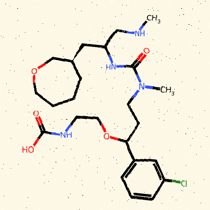 CNCC(C[C@H]1CCCCOC1)NC(=O)N(C)CCC(OCCNC(=O)O)c1cccc(Cl)c1